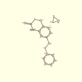 O=C1COc2c(cc(OCc3ccccc3)cc2[C@@H]2CO2)N1